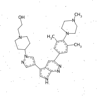 Cc1cc(-c2cc3c(-c4cnn(C5CCN(CCO)CC5)c4)c[nH]c3nn2)cc(C)c1N1CCN(C)CC1